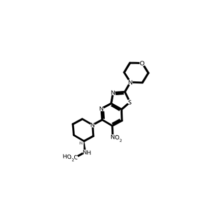 O=C(O)N[C@H]1CCCN(c2nc3nc(N4CCOCC4)sc3cc2[N+](=O)[O-])C1